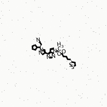 CC(OC(=O)CCCC[C@@H]1CCSS1)n1ccc2c(-c3cnn([C@H](CC#N)C4CCCC4)c3)ncnc21